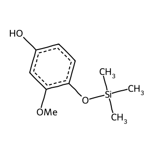 COc1cc(O)ccc1O[Si](C)(C)C